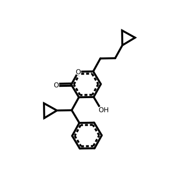 O=c1oc(CCC2CC2)cc(O)c1C(c1ccccc1)C1CC1